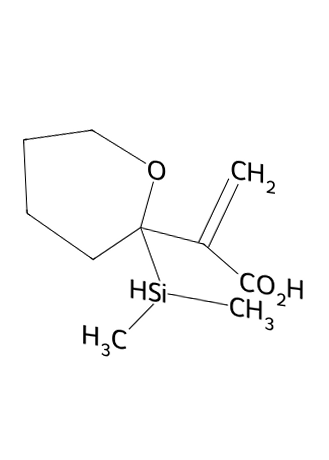 C=C(C(=O)O)C1([SiH](C)C)CCCCO1